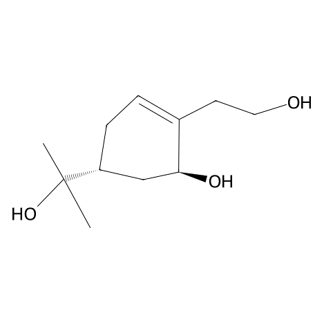 CC(C)(O)[C@@H]1CC=C(CCO)[C@@H](O)C1